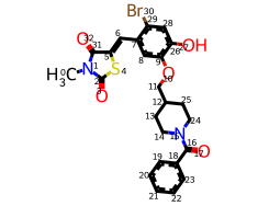 CN1C(=O)S/C(=C\c2cc(OCC3CCN(C(=O)c4ccccc4)CC3)c(O)cc2Br)C1=O